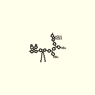 C=CCCCCCCC1(CCCCCCC=C)c2cc(-c3ccc(N(c4ccc(CCCC)cc4)c4ccc(N(c5ccc(CCCC)cc5)c5ccc(-c6ccc7c(c6)C(CCCCCCCC)(CCCCCCCC)c6cc(C)ccc6-7)cc5)cc4)cc3)ccc2-c2ccc(-c3ccc4c(c3)C(c3ccc5c(c3)CC5)(c3ccc5c(c3)CC5)c3cc(C)ccc3-4)cc21